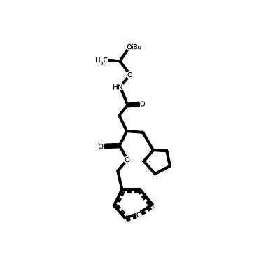 CC(C)COC(C)ONC(=O)CC(CC1CCCC1)C(=O)OCc1ccccc1